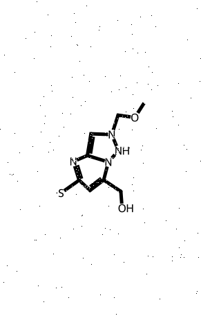 COCN1C=C2N=C([S])C=C(CO)N2N1